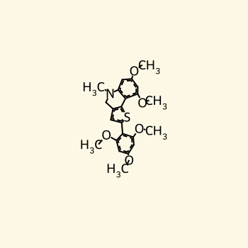 COc1cc(OC)c(-c2cc3c(s2)-c2c(OC)cc(OC)cc2N(C)C3)c(OC)c1